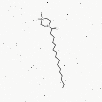 CCCCCCCCCCCCCCCC(=O)N1CC[N+](C)(C)CC1